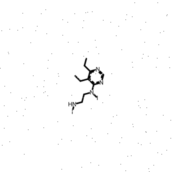 CCc1ncnc(N(I)CCNI)c1CC